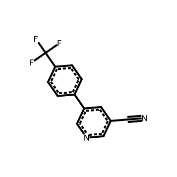 N#Cc1cncc(-c2ccc(C(F)(F)F)cc2)c1